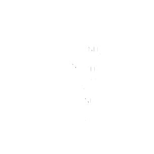 CN(C(=O)C1CCC(=O)NC1=O)c1ccccc1N